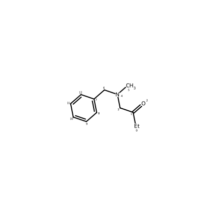 CCC(=O)CN(C)Cc1ccccc1